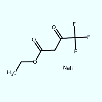 CCOC(=O)CC(=O)C(F)(F)F.[NaH]